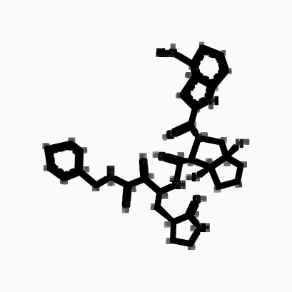 COc1cccc2[nH]c(C(=O)N3C[C@@H]4CCC[C@@H]4[C@H]3C(=O)NC(C[C@@H]3CCNC3=O)C(=O)C(=O)NCc3ccccc3)cc12